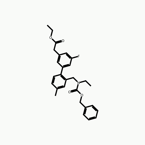 CCOC(=O)Cc1cc(F)cc(-c2ccc(C)cc2CN(CC)C(=O)OCc2ccccc2)c1